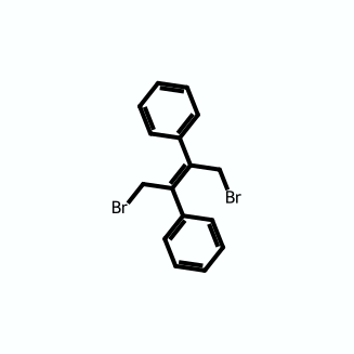 BrCC(=C(CBr)c1ccccc1)c1ccccc1